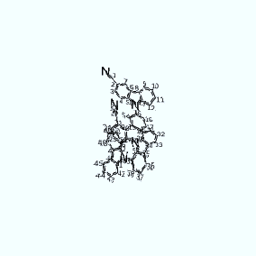 N#Cc1ccc2c(c1)c1ccccc1n2-c1cccc(-c2c(C#N)cccc2-n2c3ccccc3c3cccc(-n4c5ccccc5c5ccccc54)c32)c1